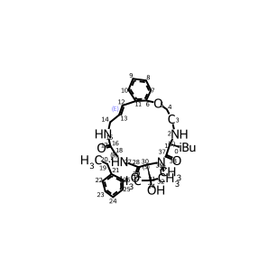 CCC(C)[C@@H]1NCCOc2ccccc2/C=C/CNC(=O)[C@@H](C(C)c2ccccc2)NC(=O)[C@H](C(C)(C)O)N(C)C1=O